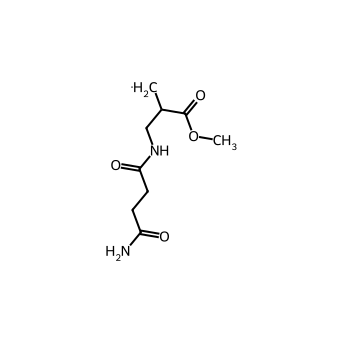 [CH2]C(CNC(=O)CCC(N)=O)C(=O)OC